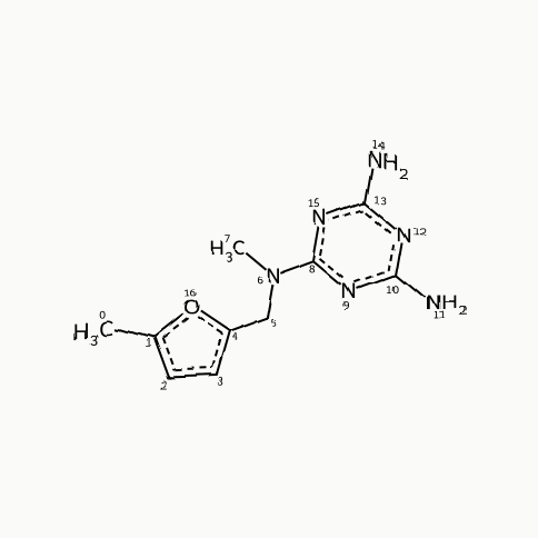 Cc1ccc(CN(C)c2nc(N)nc(N)n2)o1